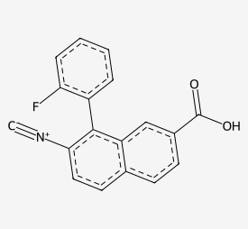 [C-]#[N+]c1ccc2ccc(C(=O)O)cc2c1-c1ccccc1F